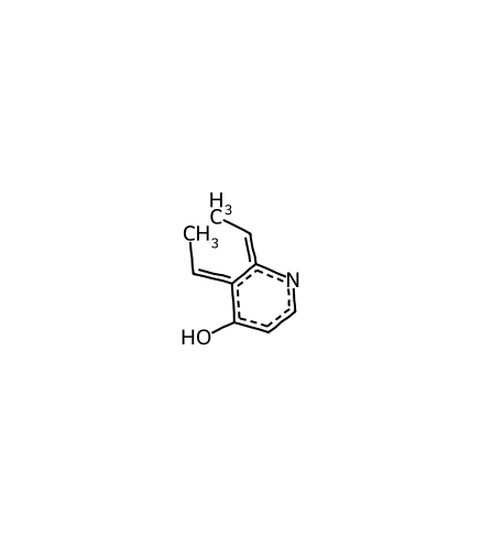 C/C=c1/nccc(O)/c1=C/C